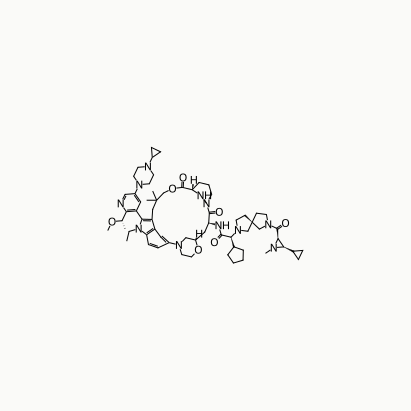 CCn1c(-c2cc(N3CCN(C4CC4)CC3)cnc2[C@H](C)OC)c2c3cc(ccc31)N1CCO[C@@H](C[C@H](NC(=O)[C@H](C3CCCC3)N3CC[C@]4(CCN(C(=O)[C@H]5[C@@H](C6CC6)N5C)C4)C3)C(=O)N3CCC[C@H](N3)C(=O)OCC(C)(C)C2)C1